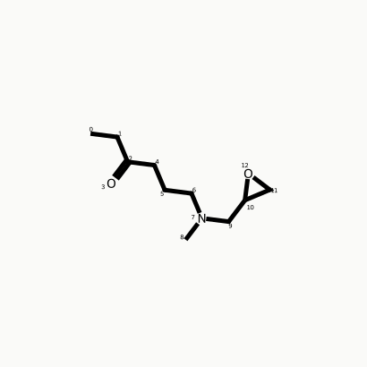 CCC(=O)CCCN(C)CC1CO1